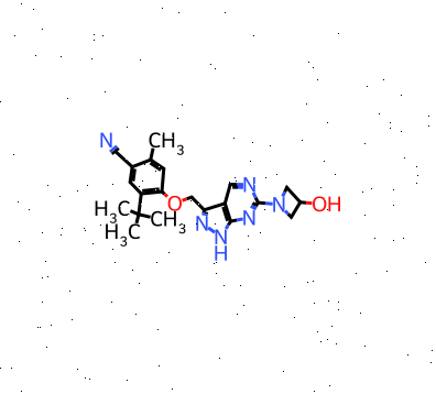 Cc1cc(OCc2n[nH]c3nc(N4CC(O)C4)ncc23)c(C(C)(C)C)cc1C#N